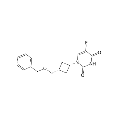 O=c1[nH]c(=O)n([C@H]2C[C@@H](COCc3ccccc3)C2)cc1F